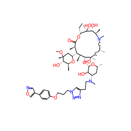 CC[C@H]1OC(=O)[C@H](C)[C@@H](C2C[C@@](C)(OC)[C@@H](O)[C@H](C)O2)[C@H](C)[C@@H](O[C@@H]2O[C@H](C)C[C@H](N(C)CCc3cn(CCCOc4ccc(-c5cnoc5)cc4)nn3)[C@H]2O)[C@](C)(O)C[C@@H](C)CN(C)[C@H](C)[C@@H](O)[C@]1(C)O